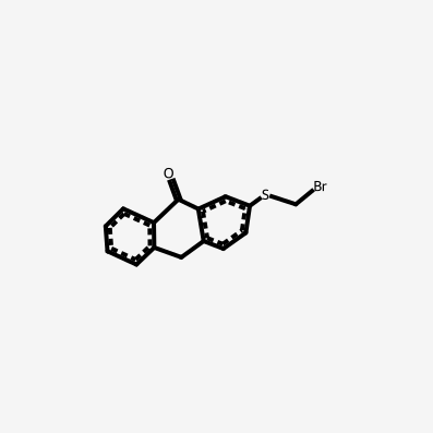 O=C1c2ccccc2Cc2ccc(SCBr)cc21